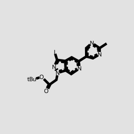 Cc1ncc(-c2cc3c(I)nn(CC(=O)OC(C)(C)C)c3cn2)cn1